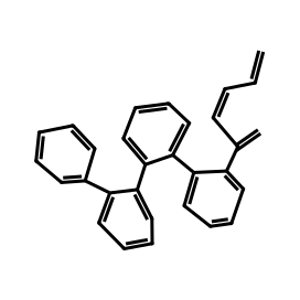 C=C/C=C\C(=C)c1ccccc1-c1ccccc1-c1ccccc1-c1ccccc1